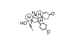 CC#CC1(O)CCC[C@H]2[C@@H]3CCC4=CC(=O)CC[C@@H]4[C@H]3[C@@H](c3ccc(OC)cc3)C[C@@]21C